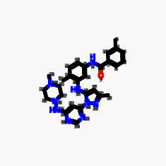 Cc1cccc(C(=O)Nc2ccc(C)c(Nc3cc(C)nn3-c3cc(NN4CCN(C)CC4)ncn3)c2)c1